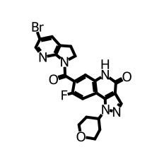 O=C(c1cc2[nH]c(=O)c3cnn(C4CCOCC4)c3c2cc1F)N1CCc2cc(Br)cnc21